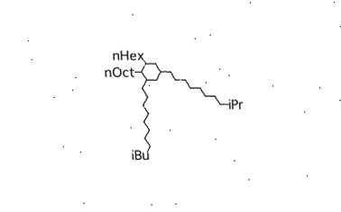 CCCCCCCCC1C(CCCCCC)CC(CCCCCCCCC(C)C)CC1CCCCCCCCC(C)CC